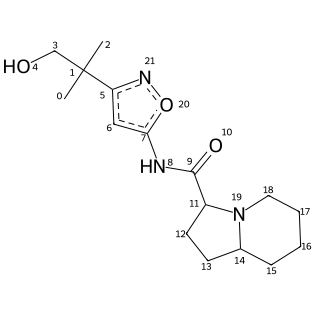 CC(C)(CO)c1cc(NC(=O)C2CCC3CCCCN32)on1